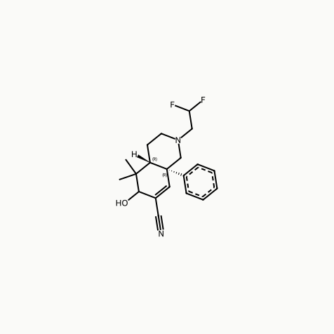 CC1(C)C(O)C(C#N)=C[C@]2(c3ccccc3)CN(CC(F)F)CC[C@@H]12